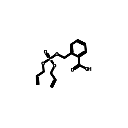 C=CCOP(=O)(OCC=C)OCc1ccccc1C(=O)O